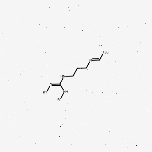 [CH2]C(C)(C)C=NCCCNC(=NC(C)C)NC(C)C